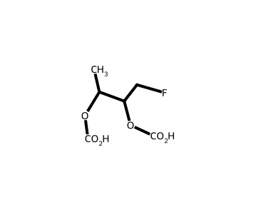 CC(OC(=O)O)C(CF)OC(=O)O